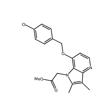 COC(=O)Cn1c(C)c(C)c2nccc(OCc3ccc(Cl)cc3)c21